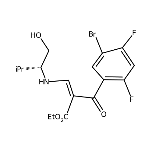 CCOC(=O)C(=CN[C@@H](CO)C(C)C)C(=O)c1cc(Br)c(F)cc1F